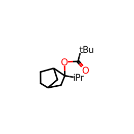 CC(C)C1(OC(=O)C(C)(C)C)CC2CCC1C2